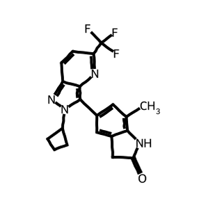 Cc1cc(-c2c3nc(C(F)(F)F)ccc3nn2C2CCC2)cc2c1NC(=O)C2